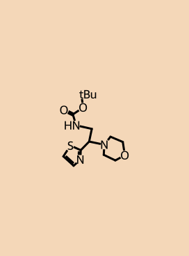 CC(C)(C)OC(=O)NCC(c1nccs1)N1CCOCC1